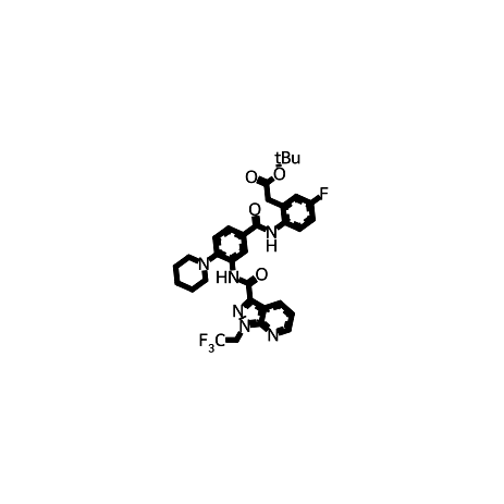 CC(C)(C)OC(=O)Cc1cc(F)ccc1NC(=O)c1ccc(N2CCCCC2)c(NC(=O)c2nn(CC(F)(F)F)c3ncccc23)c1